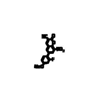 COc1ccc(-c2cc([N+](=O)[O-])c3oc(=O)c(C#N)cc3c2)c(F)c1